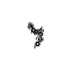 CCS(=O)(=O)c1ccc(-n2ncn(-c3ccc(F)cc3)c2=O)nc1-c1nc2cc(C(F)(F)C(F)(F)F)cnc2n1C